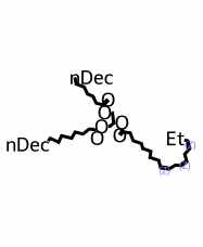 CC/C=C\C/C=C\C/C=C\CCCCCCCC(=O)OC(COC(=O)CCCCCCCCCCCCCCC)COC(=O)CCCCCCCCCCCCCCCCC